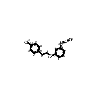 O=C=Nc1cccc(SCCc2ccc(Cl)cc2)c1